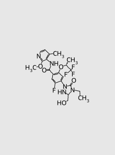 CCN1C(=O)N(c2cc(O[C@@H](C)C(F)(F)F)c(C(=O)Nc3c(C)ccnc3OC)cc2F)NC1CO